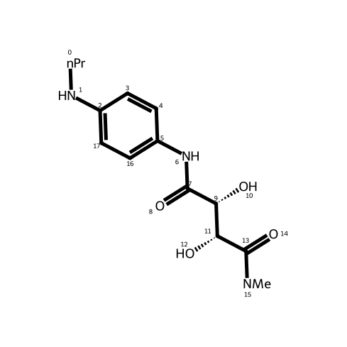 CCCNc1ccc(NC(=O)[C@H](O)[C@@H](O)C(=O)NC)cc1